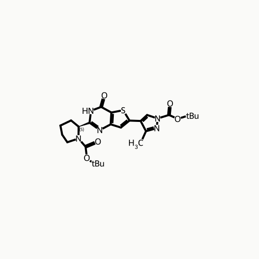 Cc1nn(C(=O)OC(C)(C)C)cc1-c1cc2nc([C@@H]3CCCCN3C(=O)OC(C)(C)C)[nH]c(=O)c2s1